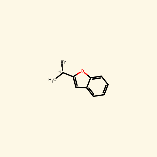 CC(C)[C@H](C)c1cc2ccccc2o1